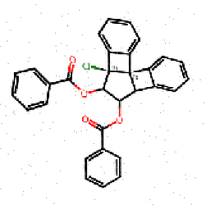 O=C(OC1C2c3ccccc3[C@@]23c2ccccc2[C@@]3(Cl)C1OC(=O)c1ccccc1)c1ccccc1